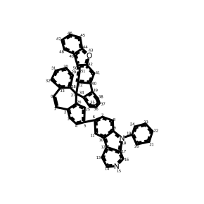 C1=Cc2ccc(-c3ccc4c(c3)c3ccncc3n4-c3ccccc3)cc2C2(c3ccccc31)c1ccccc1-c1cc3oc4ccccc4c3cc12